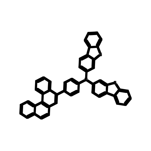 c1ccc2c(c1)ccc1cc(-c3ccc(N(c4ccc5c(c4)sc4ccccc45)c4ccc5c(c4)sc4ccccc45)cc3)c3ccccc3c12